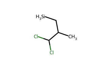 CC(C[SiH3])C(Cl)Cl